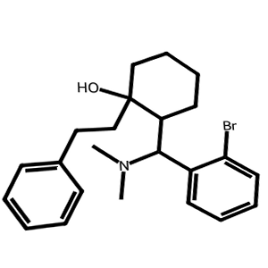 CN(C)C(c1ccccc1Br)C1CCCCC1(O)CCc1ccccc1